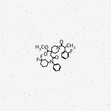 COC(=O)C1(CC(=O)N(c2ccccc2)C2CCCC(F)(F)C2)CCN(C(=O)C(C)c2ccccc2F)CC1